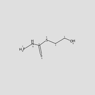 OCCSC(=S)NP